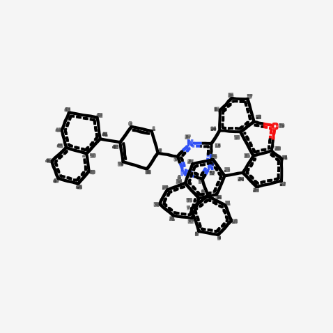 C1=CC(c2nc(-c3ccccc3)nc(-c3cccc4oc5cccc(-c6ccc7ccccc7c6)c5c34)n2)CC=C1c1cccc2ccccc12